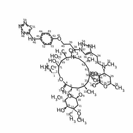 CC[C@H]1OC(=O)[C@H](C)[C@@H](O[C@H]2C[C@@](C)(OC)[C@@H](O)[C@H](C)O2)[C@H](C)[C@@H](O[C@@H]2O[C@H](C)C[C@H](N(C)CCC3=CN(CCCOc4ccc(Nc5nnns5)cc4)NN3)[C@H]2O)[C@](C)(O)C[C@@H](C)CN(C)[C@H](C)[C@@H](O)[C@]1(C)O